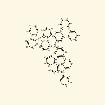 c1ccc(-n2c3cccc(-c4ccc(N(c5ccc6c(c5)C5(c7ccccc7-c7ccccc75)c5ccccc5-6)c5ccc6c7ccccc7c7ccccc7c6c5)cc4)c3c3c4ccccc4ccc32)cc1